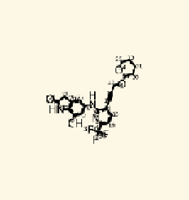 Cc1cc(Nc2nc(C(F)(F)F)ccc2C#CCOC2CCCCO2)cc2c1NC(=O)C2